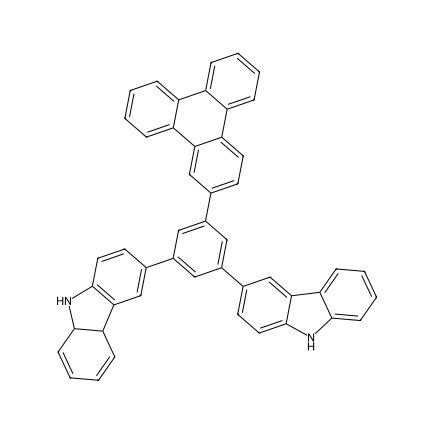 C1=CC2Nc3ccc(-c4cc(-c5ccc6[nH]c7ccccc7c6c5)cc(-c5ccc6c7ccccc7c7ccccc7c6c5)c4)cc3C2C=C1